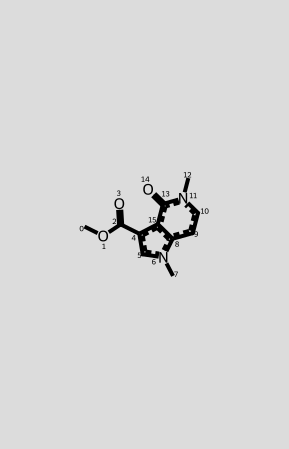 COC(=O)c1cn(C)c2ccn(C)c(=O)c12